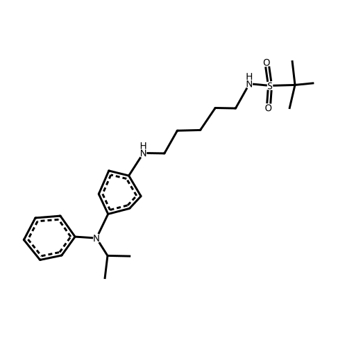 CC(C)N(c1ccccc1)c1ccc(NCCCCCNS(=O)(=O)C(C)(C)C)cc1